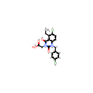 CCc1c(Cl)ccc2c1c(=O)n(CC(=O)O)c(=O)n2Cc1ccc(Cl)cc1